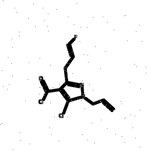 C=CCn1nc(CC=CF)c(C(=O)Cl)c1Cl